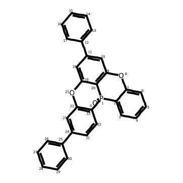 O=P12c3ccccc3Oc3cc(-c4ccccc4)cc(c31)Oc1cc(-c3ccccc3)ccc12